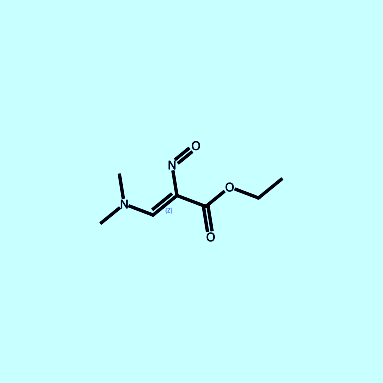 CCOC(=O)/C(=C/N(C)C)N=O